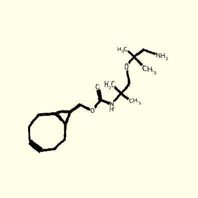 CC(C)(COC(C)(C)CN)NC(=O)OCC1C2CCC#CCCC21